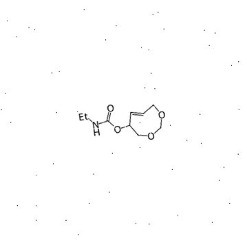 CCNC(=O)OC1/C=C/COCOC1